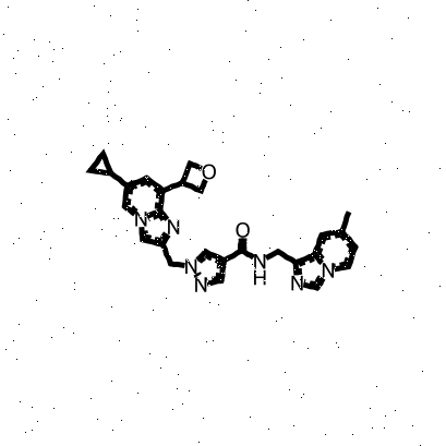 Cc1ccn2cnc(CNC(=O)c3cnn(Cc4cn5cc(C6CC6)cc(C6COC6)c5n4)c3)c2c1